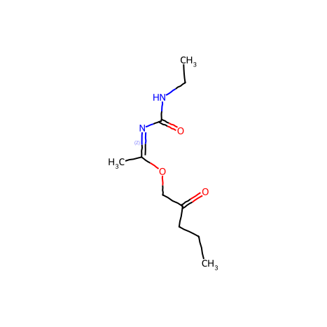 CCCC(=O)CO/C(C)=N\C(=O)NCC